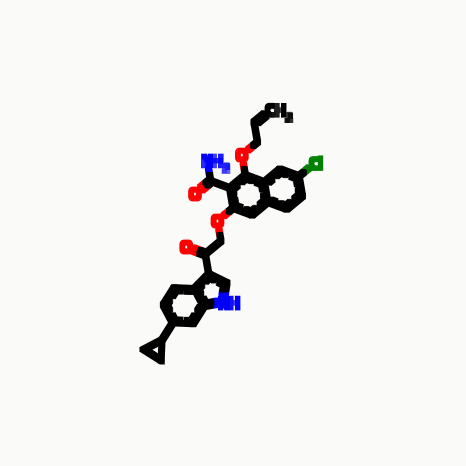 C=CCOc1c(C(N)=O)c(OCC(=O)c2c[nH]c3cc(C4CC4)ccc23)cc2ccc(Cl)cc12